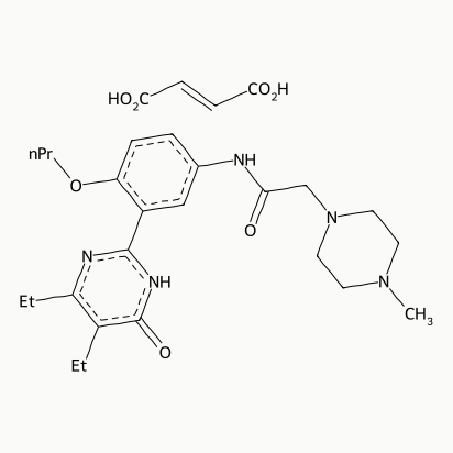 CCCOc1ccc(NC(=O)CN2CCN(C)CC2)cc1-c1nc(CC)c(CC)c(=O)[nH]1.O=C(O)/C=C/C(=O)O